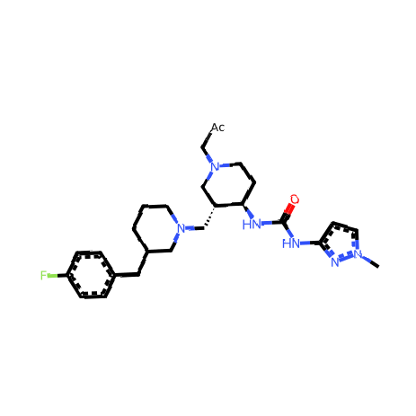 CC(=O)CN1CC[C@@H](NC(=O)Nc2ccn(C)n2)[C@H](CN2CCCC(Cc3ccc(F)cc3)C2)C1